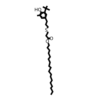 CCCCCCCCCCCCCCCCCCOC(=O)CCSCCCc1cc(C)c(O)c(C(C)(C)C)c1